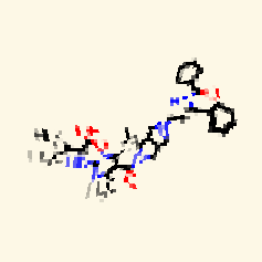 Cc1nc(N[C@H](C(=O)O)C(C)C)nc(C)c1C(=O)N1CC2CN(CC[C@H](NC(=O)C3CCCC3)c3ccccc3)CC2C1